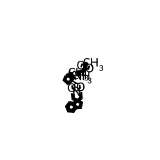 CC1(C)C2CC[C@@]1(CS(=O)(=O)N1CCC3(CCc4ccccc43)CC1)C(NCCS(C)(=O)=O)C2